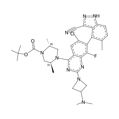 Cc1ccc2[nH]nc(C#N)c2c1-c1c(Cl)cc2c(N3C[C@@H](C)N(C(=O)OC(C)(C)C)C[C@@H]3C)nc(N3CC(N(C)C)C3)nc2c1F